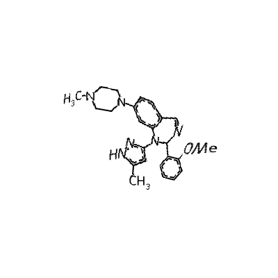 COc1ccccc1C1N=Cc2ccc(N3CCN(C)CC3)cc2N1c1cc(C)[nH]n1